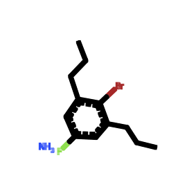 CCCc1cc(F)cc(CCC)c1Br.N